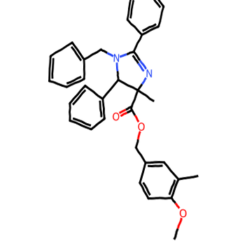 COc1ccc(COC(=O)C2(C)N=C(c3ccccc3)N(Cc3ccccc3)C2c2ccccc2)cc1C